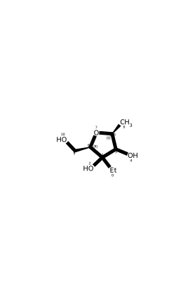 CCC1(O)C(O)[C@H](C)O[C@@H]1CO